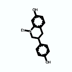 CCN1CC(c2ccc(O)cc2)Cc2ccc(O)cc21